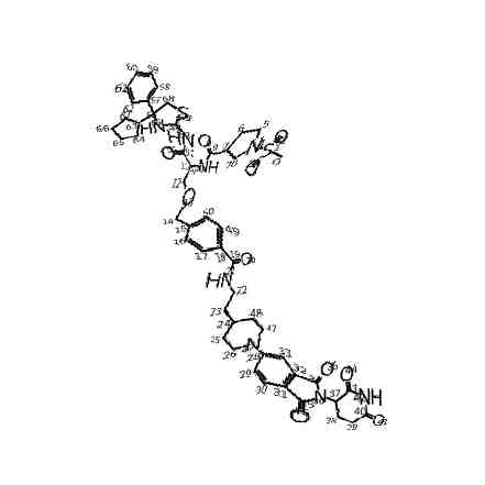 CS(=O)(=O)N1CCC(C(=O)N[C@@H](COCc2ccc(C(=O)NCCC3CCN(c4ccc5c(c4)C(=O)N(C4CCC(=O)NC4=O)C5=O)CC3)cc2)C(=O)NC2NC(c3ccccc3)(C3CCCC3)CS2)C1